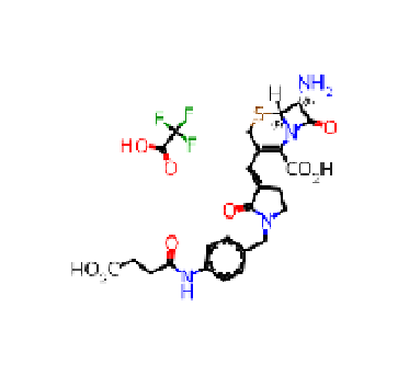 N[C@@H]1C(=O)N2C(C(=O)O)=C(C=C3CCN(Cc4ccc(NC(=O)CCC(=O)O)cc4)C3=O)CS[C@H]12.O=C(O)C(F)(F)F